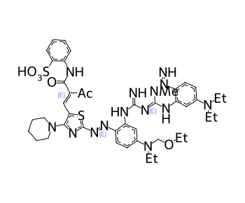 CCOCN(CC)c1ccc(/N=N/c2nc(N3CCCCC3)c(/C=C(\C(C)=O)C(=O)Nc3ccccc3S(=O)(=O)O)s2)c(NC(=N)/N=C(\NC)Nc2cc(N(CC)CC)ccc2N=N)c1